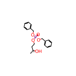 C[C@H](O)CCOP(=O)(OCc1ccccc1)OCc1ccccc1